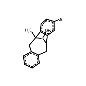 CC12Cc3ccccc3CC(c3cc(Br)ccc31)N2O